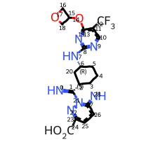 N=C([C@H]1CCC[C@@H](Nc2ncc(C(F)(F)F)c(OC3COC3)n2)C1)n1nc(C(=O)O)ccc1=N